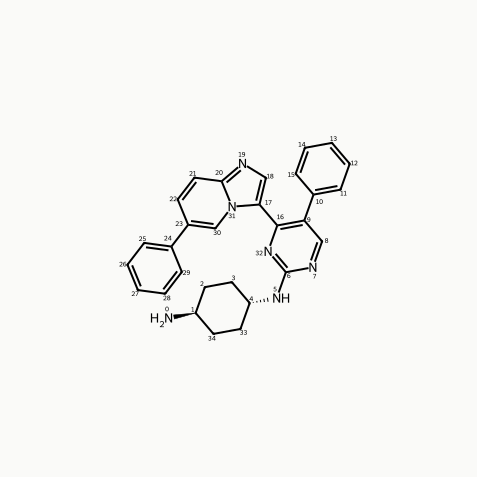 N[C@H]1CC[C@H](Nc2ncc(-c3ccccc3)c(-c3cnc4ccc(-c5ccccc5)cn34)n2)CC1